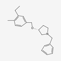 CCc1cc(CO[C@@H]2CCN(Cc3ccccc3)C2)ccc1C